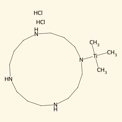 Cl.Cl.[CH3][Ti]([CH3])([CH3])[N]1CCCNCCCNCCCNCCC1